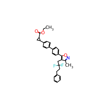 CCOC(=O)C1CC1c1ccc(-c2ccc(-c3onc(C)c3CC(F)(F)CCc3ccccc3)cc2)cc1